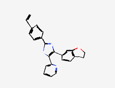 C=Cc1ccc(C2NC(c3ccc4c(c3)OCC4)=C(c3ccccn3)N2)cc1